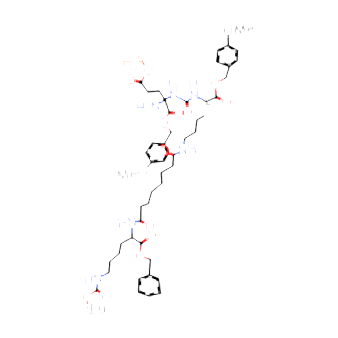 COc1ccc(COC(=O)[C@H](CCCCNC(=O)CCCCCCC(=O)NC(CCCCNC(=O)OC(C)(C)C)C(=O)OCc2ccccc2)NC(=O)NC(N)(CCC(=O)OP)C(=O)OCc2ccc(OC)cc2)cc1